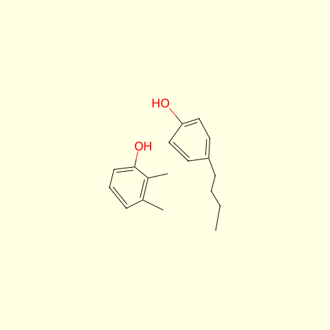 CCCCc1ccc(O)cc1.Cc1cccc(O)c1C